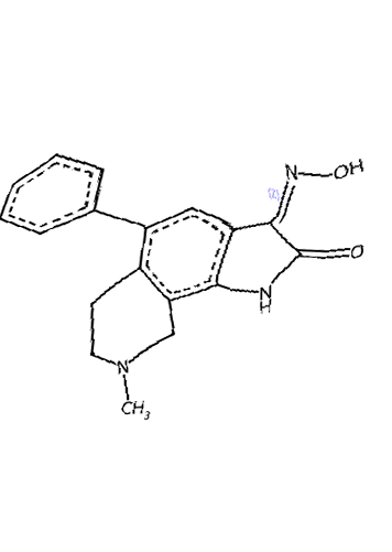 CN1CCc2c(-c3ccccc3)cc3c(c2C1)NC(=O)/C3=N\O